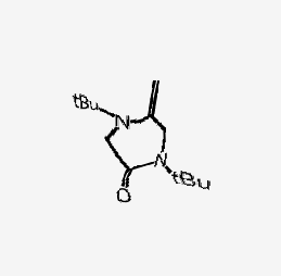 C=C1CN(C(C)(C)C)C(=O)CN1C(C)(C)C